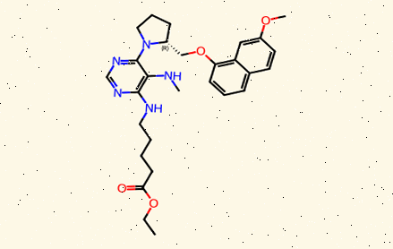 CCOC(=O)CCCCNc1ncnc(N2CCC[C@@H]2COc2cccc3ccc(OC)cc23)c1NC